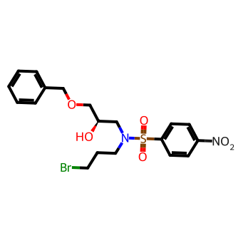 O=[N+]([O-])c1ccc(S(=O)(=O)N(CCCBr)C[C@@H](O)COCc2ccccc2)cc1